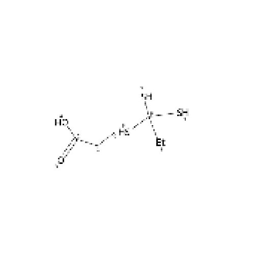 CCC(=O)O.CCC(S)(S)S